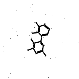 Cc1[c]c(C)c(C)c(-c2cccc(C)c2C)c1